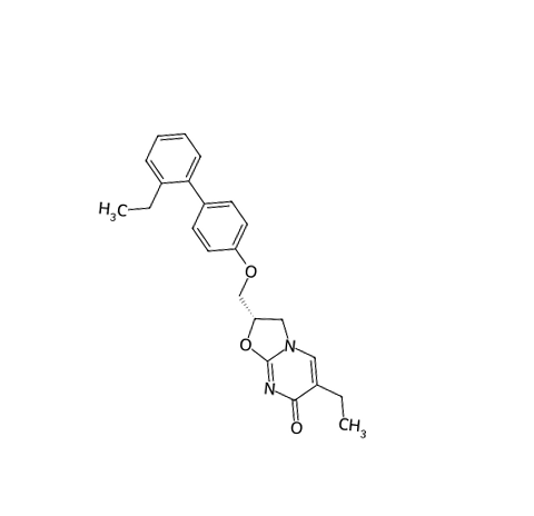 CCc1ccccc1-c1ccc(OC[C@@H]2Cn3cc(CC)c(=O)nc3O2)cc1